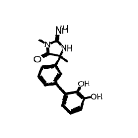 CN1C(=N)NC(C)(c2cccc(-c3cccc(O)c3O)c2)C1=O